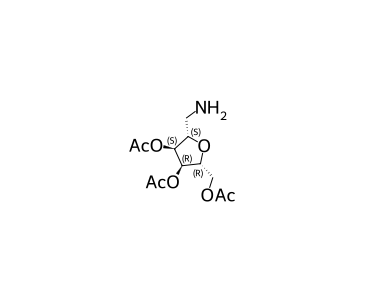 CC(=O)OC[C@H]1O[C@@H](CN)[C@H](OC(C)=O)[C@@H]1OC(C)=O